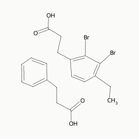 CCc1ccc(CCC(=O)O)c(Br)c1Br.O=C(O)CCc1ccccc1